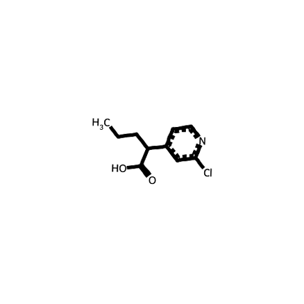 CCCC(C(=O)O)c1ccnc(Cl)c1